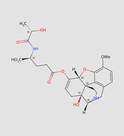 COc1ccc2c3c1O[C@H]1C(OC(=O)CC[C@H](NC(=O)[C@H](C)O)C(=O)O)=CC[C@@]4(O)[C@@H](C2)NCC[C@]314